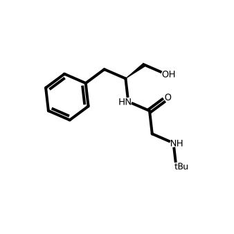 CC(C)(C)NCC(=O)N[C@H](CO)Cc1ccccc1